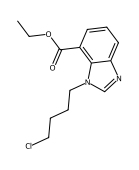 CCOC(=O)c1cccc2ncn(CCCCCl)c12